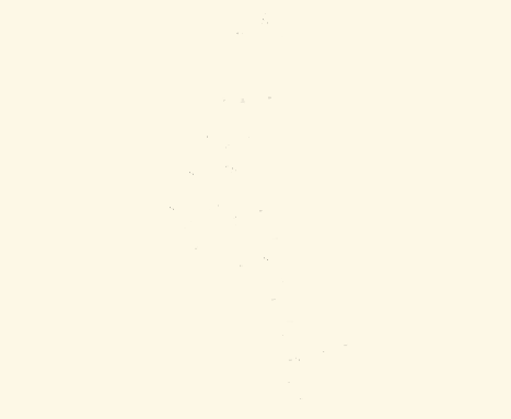 Cc1ccc(Oc2ccc(Nc3ncnc4sc5c(c34)CCN(C(=O)/C=C/CN3CCOCC3(C)C)C5)cc2C)cn1